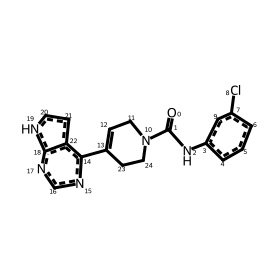 O=C(Nc1cccc(Cl)c1)N1CC=C(c2ncnc3[nH]ccc23)CC1